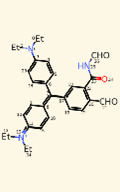 CCN(CC)c1ccc(C(=C2C=CC(=[N+](CC)CC)C=C2)c2ccc(C=O)c(C(=O)NC=O)c2)cc1